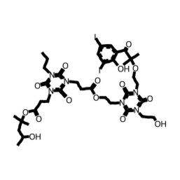 CCCn1c(=O)n(CCC(=O)OCCn2c(=O)n(CCO)c(=O)n(CCOC(C)(C)C(=O)c3cc(I)cc(I)c3O)c2=O)c(=O)n(CCC(=O)OC(C)(C)CC(C)O)c1=O